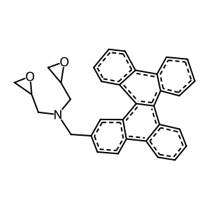 c1ccc2c(c1)c1ccccc1c1c3cc(CN(CC4CO4)CC4CO4)ccc3c3ccccc3c21